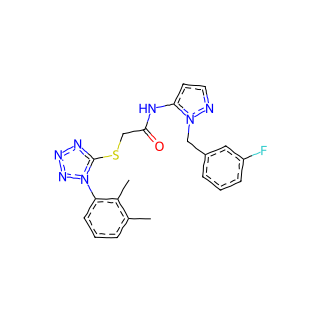 Cc1cccc(-n2nnnc2SCC(=O)Nc2ccnn2Cc2cccc(F)c2)c1C